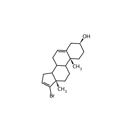 C[C@]12CC[C@H](O)CC1=CCC1C2CC[C@]2(C)C(Br)=CCC12